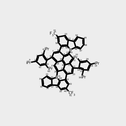 CC(C)c1cc(C(C)C)c(-c2cc3c4c(cc5c(-c6c(C(C)C)cc(C(C)C)cc6C(C)C)cc6c7c(cc2c4c57)B2c4ccccc4-c4cc(C(F)(F)F)cc-6c42)B2c4ccccc4-c4cc(C(F)(F)F)cc-3c42)c(C(C)C)c1